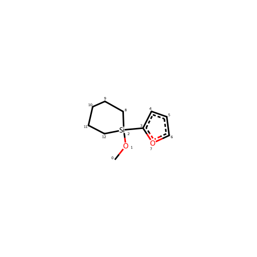 CO[Si]1(c2ccco2)CCCCC1